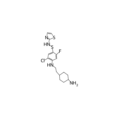 NC1CCC(CCNc2cc(F)c(SNc3nccs3)cc2Cl)CC1